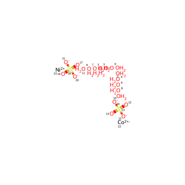 O.O.O.O.O.O.O.O.O.O.O.O.O=S(=O)([O-])[O-].O=S(=O)([O-])[O-].[Co+2].[Ni+2]